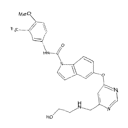 COc1ccc(NC(=O)n2ccc3cc(Oc4cc(CNCCO)ncn4)ccc32)cc1C(F)(F)F